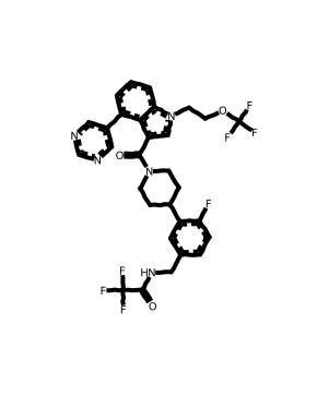 O=C(c1cn(CCOC(F)(F)F)c2cccc(-c3cncnc3)c12)N1CCC(c2cc(CNC(=O)C(F)(F)F)ccc2F)CC1